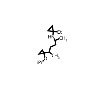 CCC1(NC(C)CCC(C)C2(OC(C)C)CC2)CC1